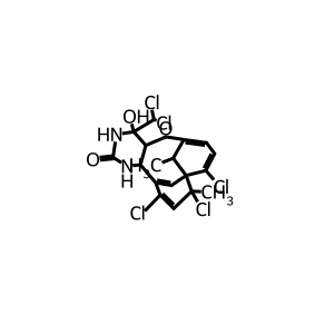 CC1C2=CC=C(Cl)C13C=C(C(Cl)=CC3(C)Cl)C1NC(=O)NC(O)(C(Cl)Cl)C1C2=O